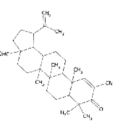 C=C(C)C1CCC2(C=O)CCC3(C)C(CCC4C5(C)C=C(C#N)C(=O)C(C)(C)C5CCC43C)C12